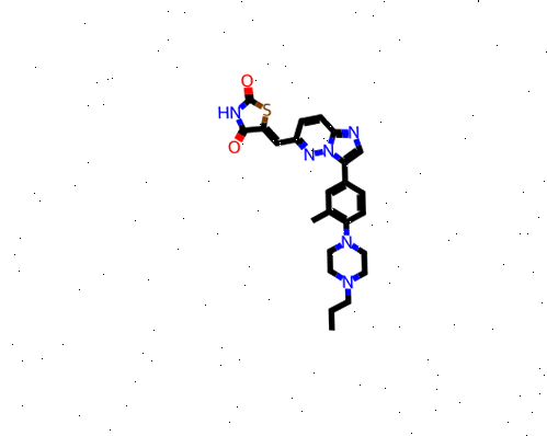 CCCN1CCN(c2ccc(-c3cnc4ccc(/C=C5\SC(=O)NC5=O)nn34)cc2C)CC1